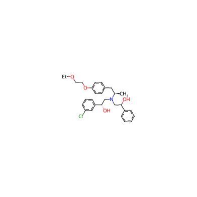 CCOCCOc1ccc(C[C@@H](C)N(CC(O)c2ccccc2)C[C@H](O)c2cccc(Cl)c2)cc1